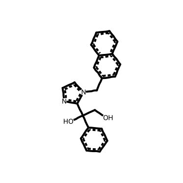 OCC(O)(c1ccccc1)c1nccn1Cc1ccc2ccccc2c1